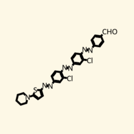 O=Cc1ccc(N=Nc2ccc(N=Nc3ccc(N=Nc4ccc(N5CCCCC5)s4)cc3Cl)cc2Cl)cc1